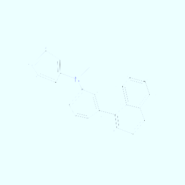 CN(c1ccccc1)c1cccc(-c2cccc3ccccc23)c1